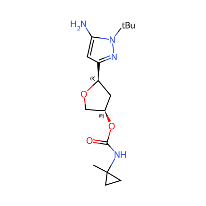 CC1(NC(=O)O[C@H]2CO[C@@H](c3cc(N)n(C(C)(C)C)n3)C2)CC1